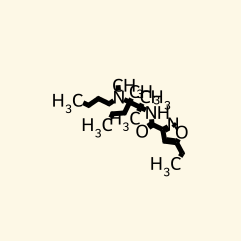 CCCCN(C)C(C)(CCC)C(C)(C)NC(=O)c1cc(CC)on1